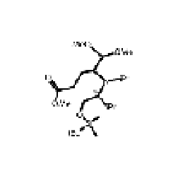 COC(=O)CCC(C(OC)OC)N(C(C)C)[C@H](CO[Si](C)(C)C(C)(C)C)C(C)C